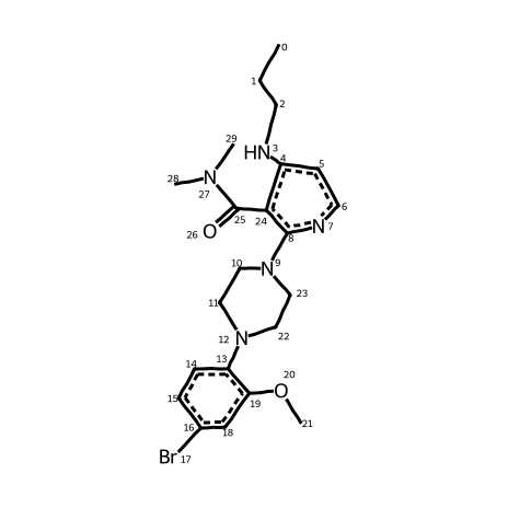 CCCNc1ccnc(N2CCN(c3ccc(Br)cc3OC)CC2)c1C(=O)N(C)C